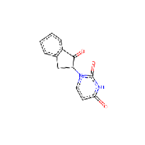 O=C1c2ccccc2CC1n1ccc(=O)[nH]c1=O